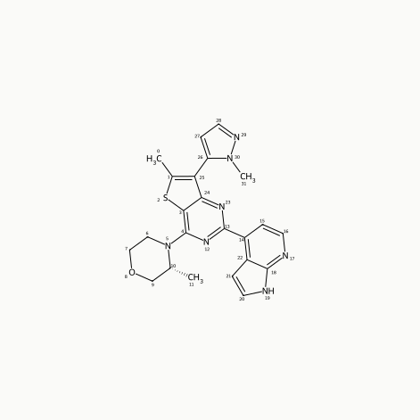 Cc1sc2c(N3CCOC[C@H]3C)nc(-c3ccnc4[nH]ccc34)nc2c1-c1ccnn1C